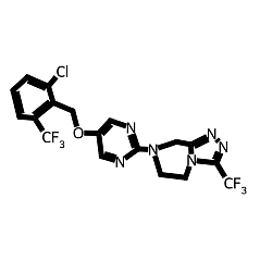 FC(F)(F)c1cccc(Cl)c1COc1cnc(N2CCn3c(nnc3C(F)(F)F)C2)nc1